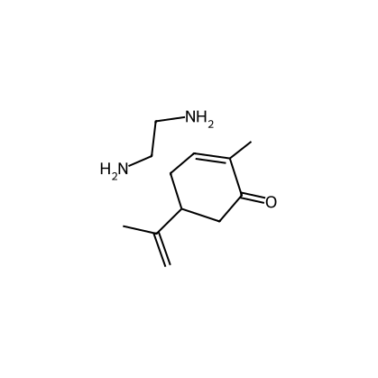 C=C(C)C1CC=C(C)C(=O)C1.NCCN